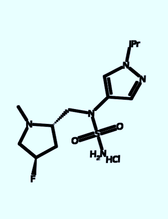 CC(C)n1cc(N(C[C@@H]2C[C@@H](F)CN2C)S(N)(=O)=O)cn1.Cl